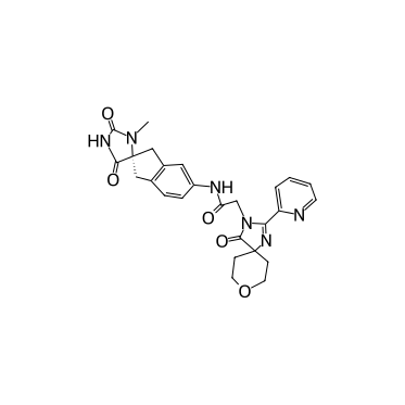 CN1C(=O)NC(=O)[C@@]12Cc1ccc(NC(=O)CN3C(=O)C4(CCOCC4)N=C3c3ccccn3)cc1C2